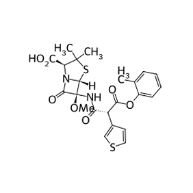 CO[C@@]1(NC(=O)[C@H](C(=O)Oc2ccccc2C)c2ccsc2)C(=O)N2[C@@H](C(=O)O)C(C)(C)S[C@@H]21